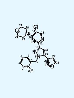 Fc1ccccc1Cn1nc(-c2ncc(Cl)c(N3CCOCC3)n2)cc1-c1ccon1